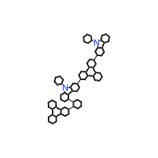 c1ccc(-n2c3ccccc3c3ccc(-c4ccc5c6ccc(-c7ccc8c9c(-c%10ccccc%10-c%10ccc%11c%12ccccc%12c%12ccccc%12c%11c%10)cccc9n(-c9ccccc9)c8c7)cc6c6ccccc6c5c4)cc32)cc1